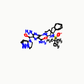 CC(C)(C)[S@@+]([O-])NC1c2ccccc2CC12CCN(c1nc(N)c(C(=O)N3CCCn4nccc43)nc1C(N)=O)CC2